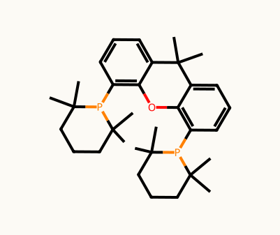 CC1(C)c2cccc(P3C(C)(C)CCCC3(C)C)c2Oc2c(P3C(C)(C)CCCC3(C)C)cccc21